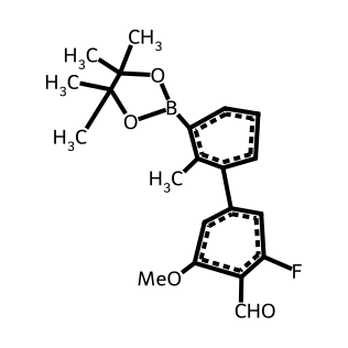 COc1cc(-c2cccc(B3OC(C)(C)C(C)(C)O3)c2C)cc(F)c1C=O